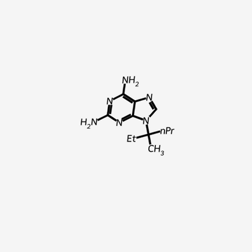 CCCC(C)(CC)n1cnc2c(N)nc(N)nc21